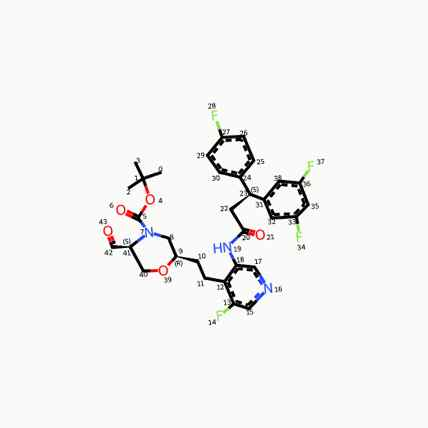 CC(C)(C)OC(=O)N1C[C@@H](CCc2c(F)cncc2NC(=O)C[C@@H](c2ccc(F)cc2)c2cc(F)cc(F)c2)OC[C@H]1C=O